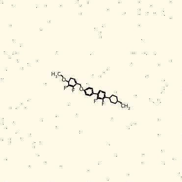 C=CC1CCC(c2ccc(-c3ccc(OCC4=CCC(OCC)C(F)=C4F)cc3)c(F)c2F)CC1